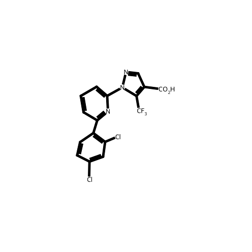 O=C(O)c1cnn(-c2cccc(-c3ccc(Cl)cc3Cl)n2)c1C(F)(F)F